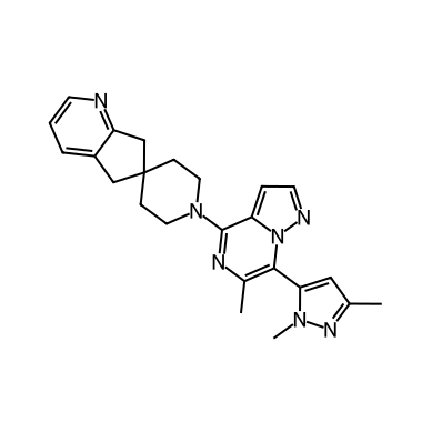 Cc1cc(-c2c(C)nc(N3CCC4(CC3)Cc3cccnc3C4)c3ccnn23)n(C)n1